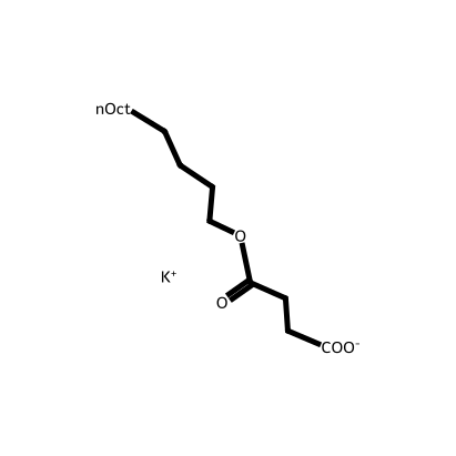 CCCCCCCCCCCCOC(=O)CCC(=O)[O-].[K+]